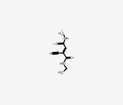 CCNC(=O)/C(C#N)=C/C(=O)NC